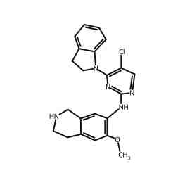 COc1cc2c(cc1Nc1ncc(Cl)c(N3CCc4ccccc43)n1)CNCC2